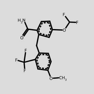 COc1ccc(Cc2cc(OC(F)F)ccc2C(N)=O)c(C(F)(F)F)c1